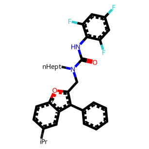 CCCCCCCN(Cc1oc2ccc(C(C)C)cc2c1-c1ccccc1)C(=O)Nc1c(F)cc(F)cc1F